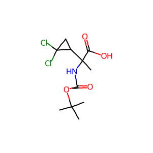 CC(C)(C)OC(=O)NC(C)(C(=O)O)C1CC1(Cl)Cl